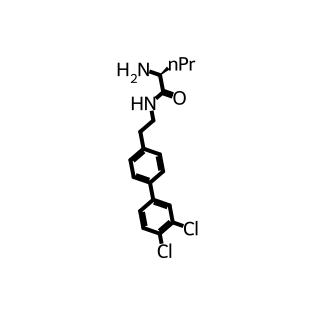 CCC[C@H](N)C(=O)NCCc1ccc(-c2ccc(Cl)c(Cl)c2)cc1